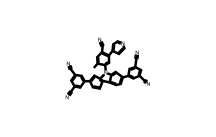 Cc1cc(C#N)c(-c2ccncc2)cc1-n1c2cc(-c3cc(C#N)cc(C#N)c3)ccc2c2ccc(-c3cc(C#N)cc(C#N)c3)cc21